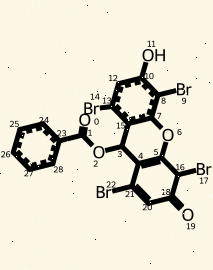 O=C(OC1C2=C(Oc3c(Br)c(O)cc(Br)c31)C(Br)C(=O)C=C2Br)c1ccccc1